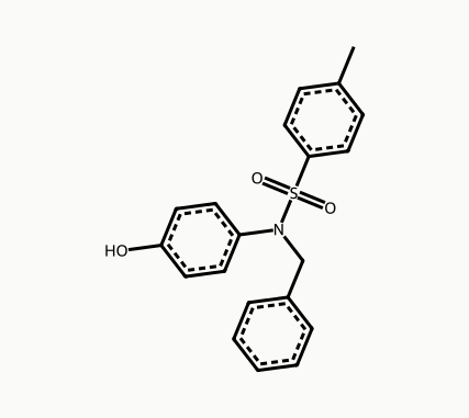 Cc1ccc(S(=O)(=O)N(Cc2ccccc2)c2ccc(O)cc2)cc1